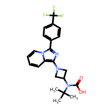 CC(C)(C)N(C(=O)O)C1CN(c2nc(-c3ccc(C(F)(F)F)cc3)n3ccccc23)C1